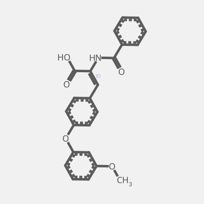 COc1cccc(Oc2ccc(/C=C(/NC(=O)c3ccccc3)C(=O)O)cc2)c1